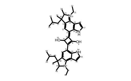 CCN1c2c(cc(C3=C(O)/C(=c4/cc5c(c6cc[nH]c46)=[N+](CC)C(C)C5(C)CC(C)C)C3O)c3[nH]ccc23)C(C)(CC(C)C)C1C